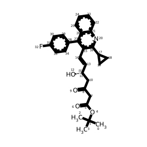 CC(C)(C)OC(=O)CC(=O)C[C@H](O)C=Cc1c(C2CC2)nc2ccccc2c1-c1ccc(F)cc1